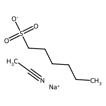 CC#N.CCCCCCS(=O)(=O)[O-].[Na+]